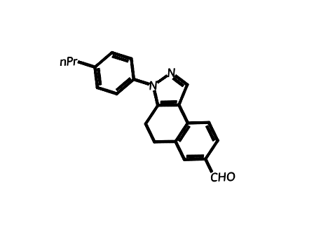 CCCc1ccc(-n2ncc3c2CCc2cc(C=O)ccc2-3)cc1